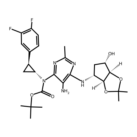 Cc1nc(N[C@@H]2C[C@H](O)[C@H]3OC(C)(C)O[C@H]32)c(N)c(N(C(=O)OC(C)(C)C)[C@@H]2C[C@H]2c2ccc(F)c(F)c2)n1